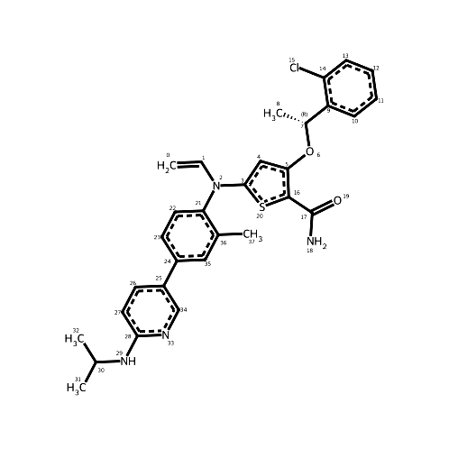 C=CN(c1cc(O[C@H](C)c2ccccc2Cl)c(C(N)=O)s1)c1ccc(-c2ccc(NC(C)C)nc2)cc1C